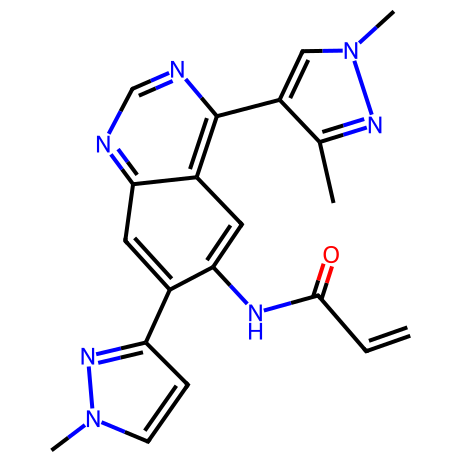 C=CC(=O)Nc1cc2c(-c3cn(C)nc3C)ncnc2cc1-c1ccn(C)n1